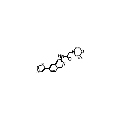 C[C@H]1CN(CC(=O)Nc2cc3cc(-c4cncs4)ccc3cn2)CCO1